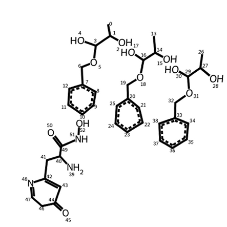 CC(O)C(O)OCc1ccccc1.CC(O)C(O)OCc1ccccc1.CC(O)C(O)OCc1ccccc1.NC(CC1=CC(=O)CC=N1)C(=O)NO